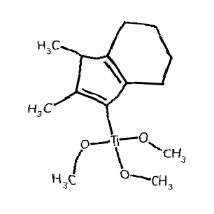 C[O][Ti]([O]C)([O]C)[C]1=C(C)C(C)C2=C1CCCC2